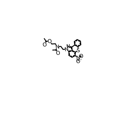 CC(=O)OCCN(CCn1nc2c3c(c([N+](=O)[O-])ccc31)Sc1ccccc1-2)C(C)=O